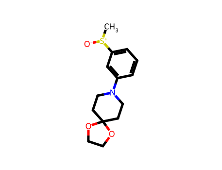 C[S+]([O-])c1cccc(N2CCC3(CC2)OCCO3)c1